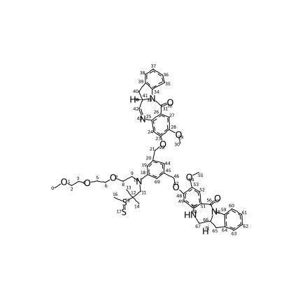 COCCOCCOCCN(CC(C)(C)S(C)=S)c1cc(COc2cc3c(cc2OC)C(=O)N2c4ccccc4C[C@H]2C=N3)cc(COc2cc3c(cc2OC)C(=O)N2c4ccccc4C[C@H]2CN3)c1